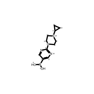 OB(O)c1cnc(N2CCN(C3CC3)CC2)nc1